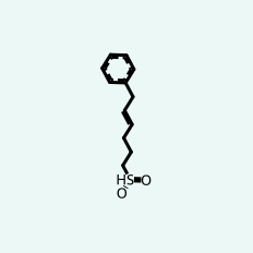 O=[SH](=O)CCCC=CCc1ccccc1